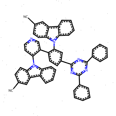 N#Cc1ccc2c(c1)c1ccccc1n2-c1ccncc1-c1ccc(-c2nc(-c3ccccc3)nc(-c3ccccc3)n2)cc1-n1c2ccccc2c2cc(C#N)ccc21